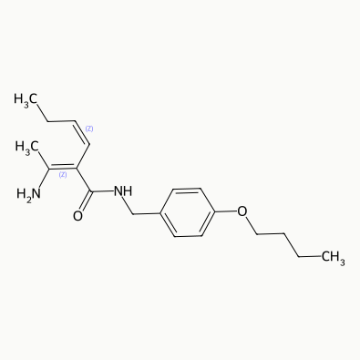 CC/C=C\C(C(=O)NCc1ccc(OCCCC)cc1)=C(/C)N